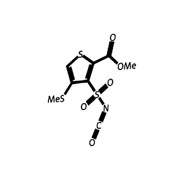 COC(=O)c1scc(SC)c1S(=O)(=O)N=C=O